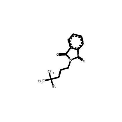 CCC(C)(C)CCCN1C(=O)c2ccccc2C1=O